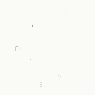 [CH2]c1ccc(OCC)c(OCC)c1C